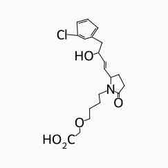 O=C(O)COCCCCN1C(=O)CCC1C=CC(O)Cc1cccc(Cl)c1